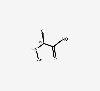 CC(=O)N[C@@H](C)C(=O)N=O